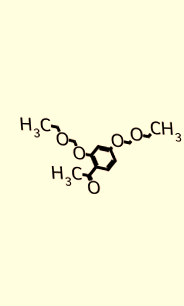 CCOCOc1ccc(C(C)=O)c(OCOCC)c1